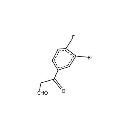 O=CCC(=O)c1ccc(F)c(Br)c1